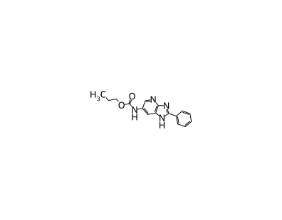 CCCOC(=O)Nc1cnc2nc(-c3ccccc3)[nH]c2c1